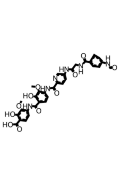 COc1c(NC(=O)c2ccc(NC(=O)c3ccc(NC(=O)CNC(=O)c4ccc(NC=O)cc4)cn3)c(OC)c2O)ccc(C(=O)O)c1O